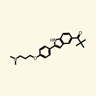 CN(C)CCCOc1ccc(-c2cc3cc(C(=O)C(C)(C)C)ccc3[nH]2)cc1